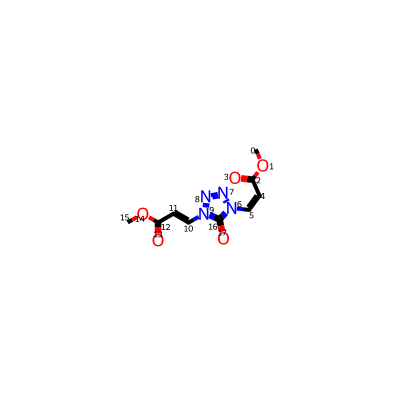 COC(=O)/C=C\n1nnn(/C=C/C(=O)OC)c1=O